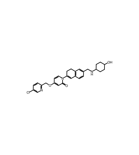 O=c1cc(OCc2ccc(Cl)cn2)ccn1C1=Cc2ccc(CNC3CCC(O)CC3)cc2CC1